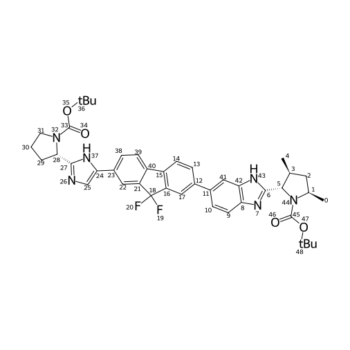 C[C@@H]1C[C@H](C)[C@@H](c2nc3ccc(-c4ccc5c(c4)C(F)(F)c4cc(-c6cnc([C@@H]7CCCN7C(=O)OC(C)(C)C)[nH]6)ccc4-5)cc3[nH]2)N1C(=O)OC(C)(C)C